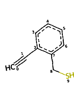 C#Cc1ccccc1CS